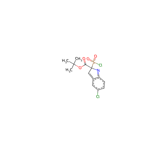 CC(C)(C)OC(=O)C1(S(=O)(=O)Cl)C=c2cc(Cl)ccc2=N1